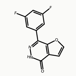 O=c1[nH]nc(-c2cc(F)cc(F)c2)c2occc12